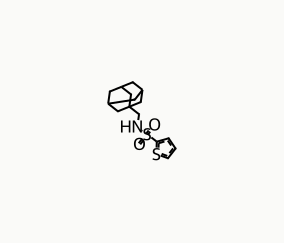 O=S(=O)(NCC12CC3CC(CC(C3)C1)C2)c1cccs1